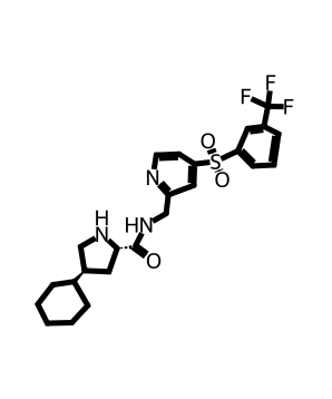 O=C(NCc1cc(S(=O)(=O)c2cccc(C(F)(F)F)c2)ccn1)[C@@H]1C[C@@H](C2CCCCC2)CN1